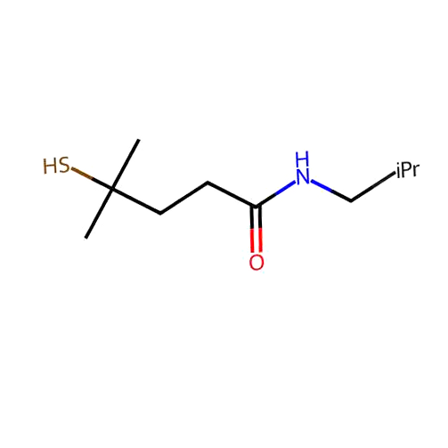 CC(C)CNC(=O)CCC(C)(C)S